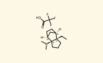 CC[C@@]12CCC[C@]1(N(C)C)[C@H]1CC[C@@H]2C1.O=C(O)C(F)(F)F